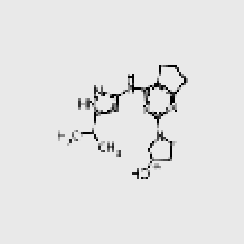 CC(C)c1cc(Nc2nc(N3[CH]C[C@@H](O)C3)nc3c2CCC3)n[nH]1